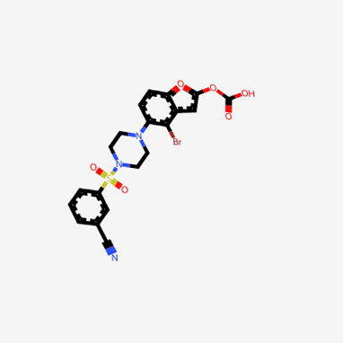 N#Cc1cccc(S(=O)(=O)N2CCN(c3ccc4oc(OC(=O)O)cc4c3Br)CC2)c1